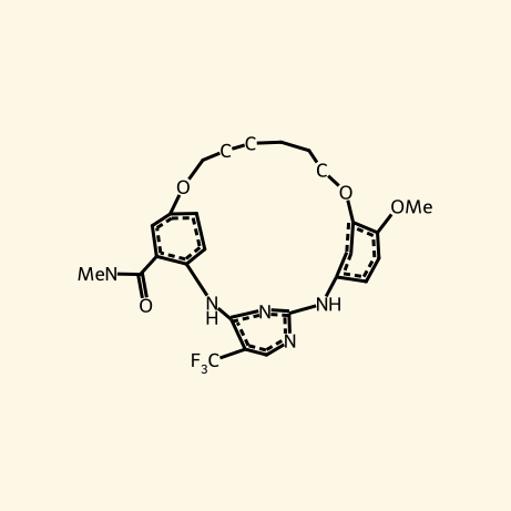 CNC(=O)c1cc2ccc1Nc1nc(ncc1C(F)(F)F)Nc1ccc(OC)c(c1)OCCCCCCO2